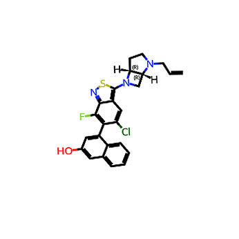 C=CCN1CC[C@@H]2[C@H]1CN2c1snc2c(F)c(-c3cc(O)cc4ccccc34)c(Cl)cc12